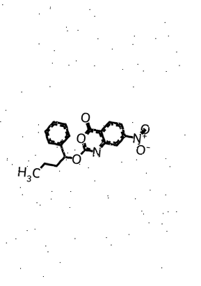 CCCC(Oc1nc2cc([N+](=O)[O-])ccc2c(=O)o1)c1ccccc1